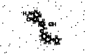 Cl.Nc1ncnc2c1c(Cl)cn2-c1csc(COc2ccc3ccc(N4CCCC4)nc3c2)n1